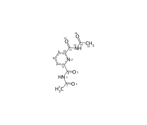 CC(=O)NC(=O)c1cccc(C(=O)NC(C)=O)n1